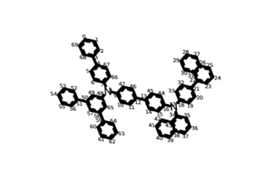 c1ccc(-c2ccc(N(c3ccc(-c4ccc(N(c5ccc(-c6cccc7ccccc67)cc5)c5cccc6ccccc56)cc4)cc3)c3cc(-c4ccccc4)cc(-c4ccccc4)c3)cc2)cc1